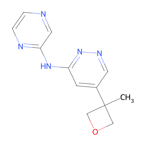 CC1(c2cnnc(Nc3cnccn3)c2)COC1